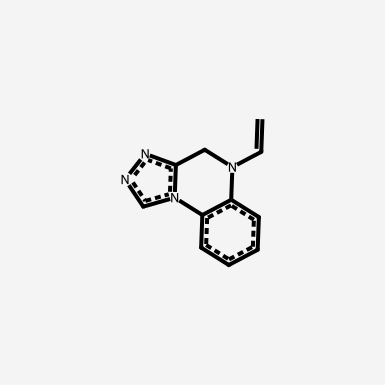 C=CN1Cc2nncn2-c2ccccc21